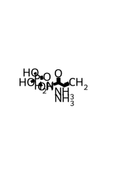 C=CC(N)=O.N.N.O=P(O)(O)O